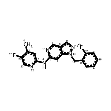 Cc1cc(Nc2cc3c(cn2)cnn3Cc2ccccc2F)ncc1F